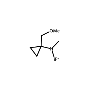 COCC1(N(C)C(C)C)CC1